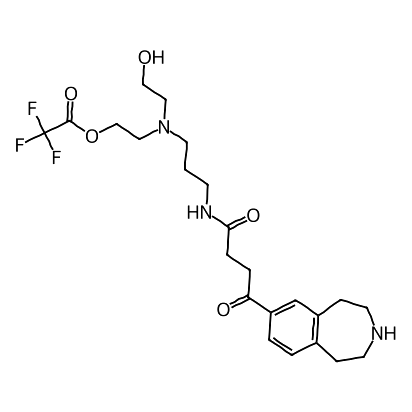 O=C(CCC(=O)c1ccc2c(c1)CCNCC2)NCCCN(CCO)CCOC(=O)C(F)(F)F